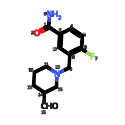 NC(=O)c1ccc(F)c(CN2CCCC(C=O)C2)c1